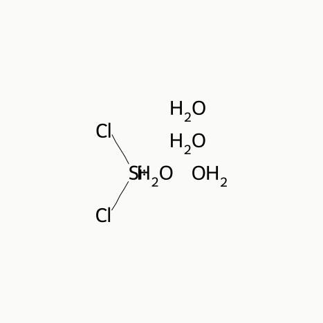 Cl[Si]Cl.O.O.O.O